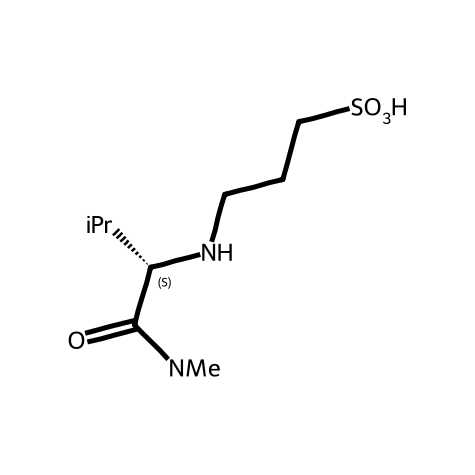 CNC(=O)[C@@H](NCCCS(=O)(=O)O)C(C)C